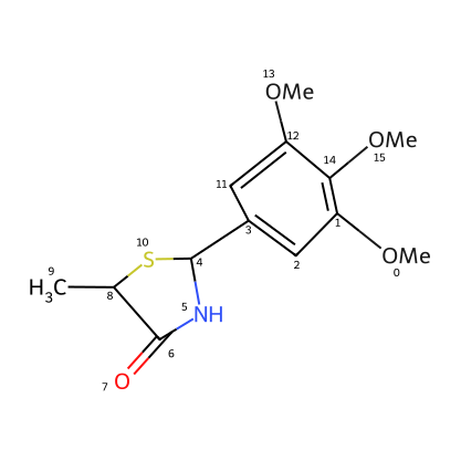 COc1cc(C2NC(=O)C(C)S2)cc(OC)c1OC